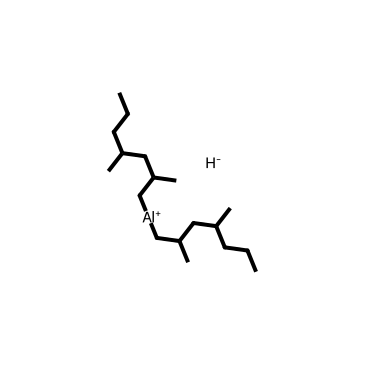 CCCC(C)CC(C)[CH2][Al+][CH2]C(C)CC(C)CCC.[H-]